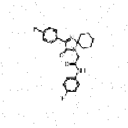 O=C(CN1C(=O)C(c2ccc(F)cc2)=NC12CCCCC2)Nc1ccc(F)cc1